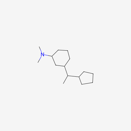 CC(C1CCCC1)C1CCCC(N(C)C)C1